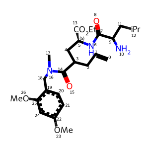 C=CCC(C[C@H](NC(=O)C(N)CC(C)C)C(=O)OCC)C(=O)N(C)Cc1ccc(OC)cc1OC